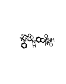 CN1C(=O)NC(=O)[C@@]12Cc1ccc(NC(=O)CN3C(=O)CSC(C)(C)[C@H]3c3ccccc3)cc1C2